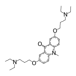 CCN(CC)CCCOc1ccc2c(c1)c(=O)c1cc(OCCCN(CC)CC)ccc1n2C